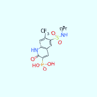 CCCNS(=O)(=O)c1cc2cc(P(=O)(O)O)c(=O)[nH]c2cc1C(F)(F)F